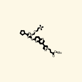 CC(C)(C)OC(=O)CCn1cc(-c2cnc3ccc(N=c4sc(C5CCCC5)nn4COCC[Si](C)(C)C)nc3c2)cn1